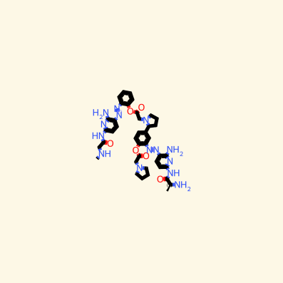 CNCC(=O)Nc1ccc(/N=N/c2ccccc2OC(=O)CN2CCCC2c2ccc(OC(=O)CN3CCCC3)c(/N=N/c3ccc(NC(=O)[C@H](C)N)nc3N)c2)c(N)n1